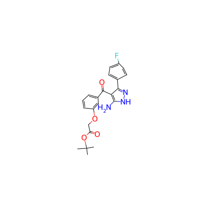 CC(C)(C)OC(=O)COc1cccc(C(=O)c2c(-c3ccc(F)cc3)n[nH]c2N)c1